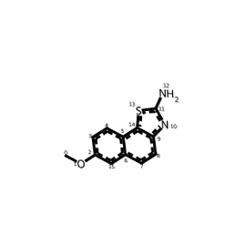 COc1ccc2c(ccc3nc(N)sc32)c1